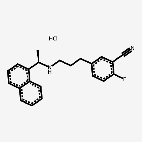 C[C@@H](NCCCc1ccc(F)c(C#N)c1)c1cccc2ccccc12.Cl